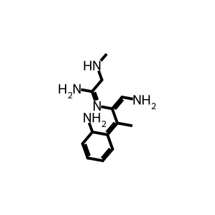 CNC\C(N)=N/C(=C/N)C(/C)=C1/C=CC=CC1N